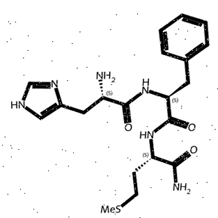 CSCC[C@H](NC(=O)[C@H](Cc1ccccc1)NC(=O)[C@@H](N)Cc1c[nH]cn1)C(N)=O